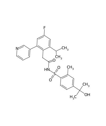 Cc1cc(C(C)(C)O)ccc1S(=O)(=O)NC(=O)Cc1c(-c2cccnc2)cc(F)cc1C(C)C